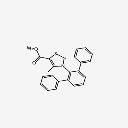 COC(=O)C1=C(C)N(c2c(-c3ccccc3)cccc2-c2ccccc2)[C]S1